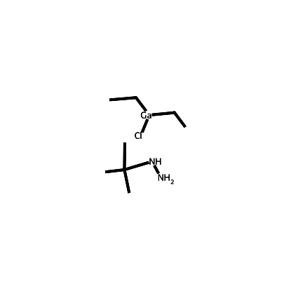 CC(C)(C)NN.C[CH2][Ga]([Cl])[CH2]C